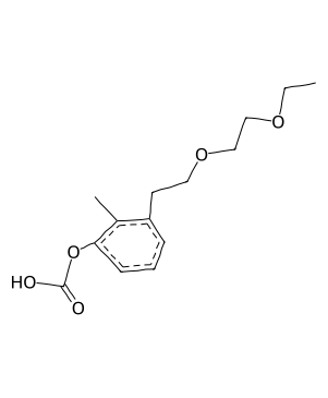 CCOCCOCCc1cccc(OC(=O)O)c1C